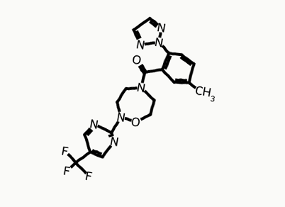 Cc1ccc(-n2nccn2)c(C(=O)N2CCON(c3ncc(C(F)(F)F)cn3)CC2)c1